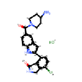 Cl.NC1CCN(C(=O)c2ccc3[nH]c(-c4ccc(Cl)c5c4C(=O)NC5)cc3c2)CC1